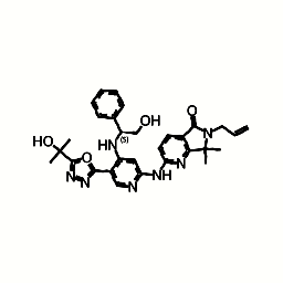 C=CCN1C(=O)c2ccc(Nc3cc(N[C@H](CO)c4ccccc4)c(-c4nnc(C(C)(C)O)o4)cn3)nc2C1(C)C